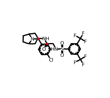 O=C(CNS(=O)(=O)c1cc(C(F)(F)F)cc(C(F)(F)F)c1)NC1CC2CCC(C1)N2Cc1ccc(Cl)cc1